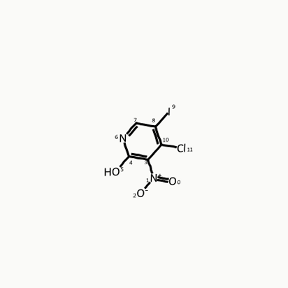 O=[N+]([O-])c1c(O)ncc(I)c1Cl